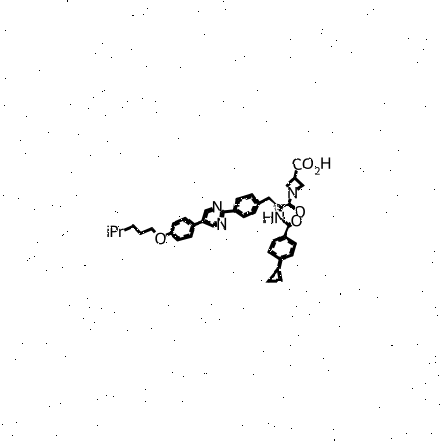 CC(C)CCCOc1ccc(-c2cnc(-c3ccc(C[C@H](NC(=O)c4ccc(C5CC5)cc4)C(=O)N4CC(C(=O)O)C4)cc3)nc2)cc1